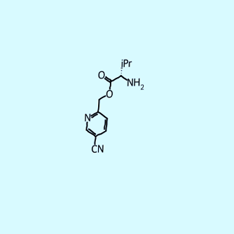 CC(C)[C@H](N)C(=O)OCc1ccc(C#N)cn1